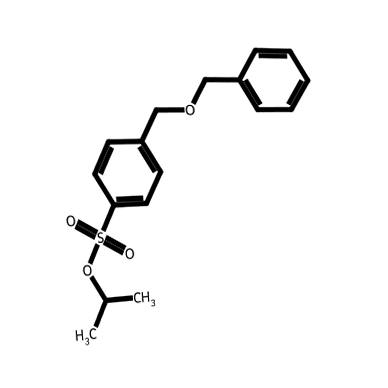 CC(C)OS(=O)(=O)c1ccc(COCc2ccccc2)cc1